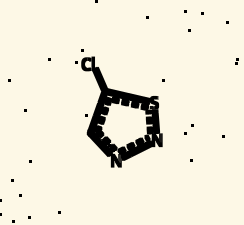 Clc1cnns1